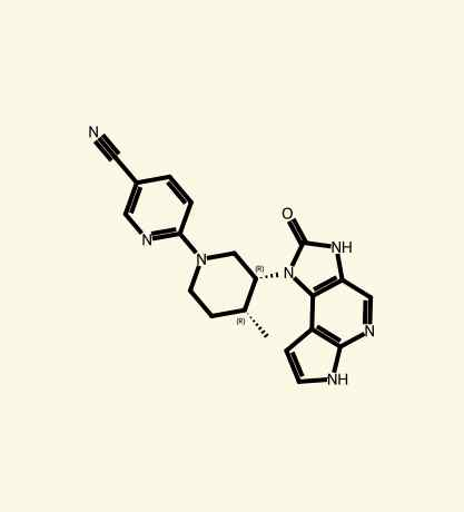 C[C@@H]1CCN(c2ccc(C#N)cn2)C[C@@H]1n1c(=O)[nH]c2cnc3[nH]ccc3c21